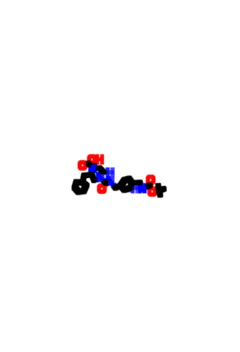 CC(C)(C)OC(=O)NCc1ccc(CNC(=O)N2CCN(C(=O)O)C(Cc3ccccc3)C2)cc1